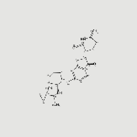 C=C1CCC(N2Cc3cc(C[C@H]4CCCC[C@@H]4NC(C)C4(C#N)CC4)ccc3C2=O)C(=O)N1